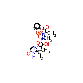 C=C1NC(=O)C=CN1[C@@H]1O[C@H](C(C)OP(=O)(NC(C)C(=O)OC)Oc2ccccc2)C(O)C1C